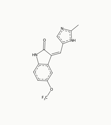 Cc1ncc(C=C2C(=O)Nc3ccc(OC(F)(F)F)cc32)[nH]1